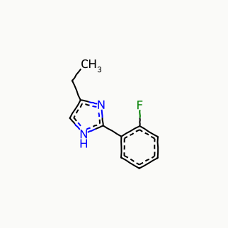 CCc1c[nH]c(-c2ccccc2F)n1